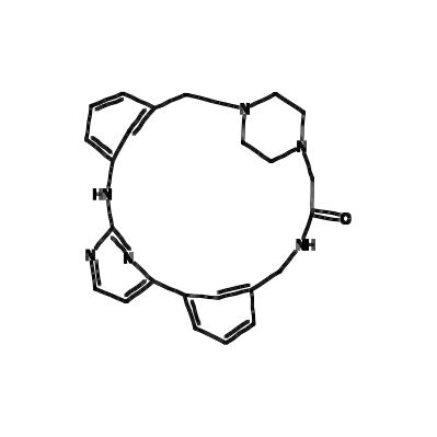 O=C1CN2CCN(CC2)Cc2cccc(c2)Nc2nccc(n2)-c2cccc(c2)CN1